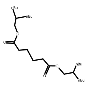 CCCCC(CCCC)COC(=O)CCCCC(=O)OCC(CCCC)CCCC